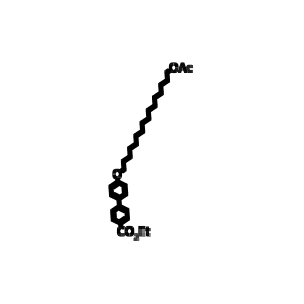 CCOC(=O)c1ccc(-c2ccc(OCCCCCCCCCCCCCCCCOC(C)=O)cc2)cc1